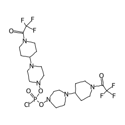 O=C(N1CCC(N2CCN(OP(=O)(Cl)ON3CCN(C4CCN(C(=O)C(F)(F)F)CC4)CC3)CC2)CC1)C(F)(F)F